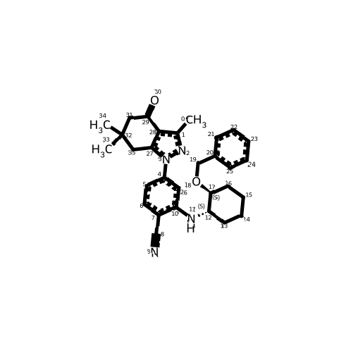 Cc1nn(-c2ccc(C#N)c(N[C@H]3CCCC[C@@H]3OCc3ccccc3)c2)c2c1C(=O)CC(C)(C)C2